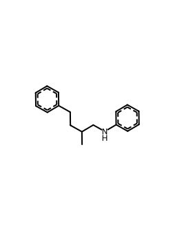 CC(CCc1ccccc1)CNc1ccccc1